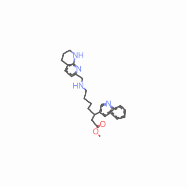 COC(=O)CC(CCCCNCc1ccc2c(n1)NCCC2)c1cnc2ccccc2c1